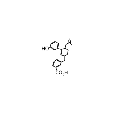 CN(C)CC1CCC(=Cc2cccc(C(=O)O)c2)C=C1c1cccc(O)c1